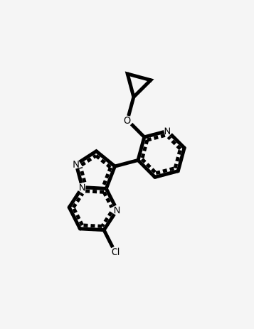 Clc1ccn2ncc(-c3cccnc3OC3CC3)c2n1